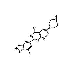 Cc1cc(-c2nc3ncc(N4CCNCC4)cc3c(=O)[nH]2)cc2cn(C)nc12